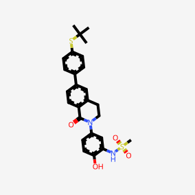 CC(C)(C)Sc1ccc(-c2ccc3c(c2)CCN(c2ccc(O)c(NS(C)(=O)=O)c2)C3=O)cc1